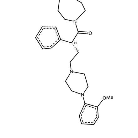 COc1ccccc1N1CCN(CC[C@@H](C(=O)N2CCCCCC2)c2ccccc2)CC1